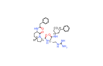 N=C(N)NCC[C@H](NC(=O)[C@@H]1CC[C@@H]2CCC(NC(=O)Cc3ccccc3)C(=O)N21)C(=O)N[C@H](CCc1ccccc1)CC(=O)O